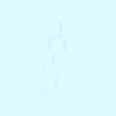 Cc1c(C)c([N+](=O)[O-])c(C)c(C)c1N1CC2CCCCC2C1